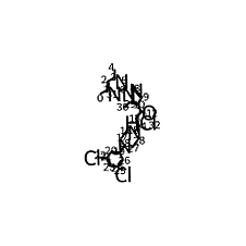 Cc1cc(C)nc(-n2ncc(C(=O)CCN3CCN(c4cc(Cl)cc(Cl)c4)CC3)c2C)n1.Cl